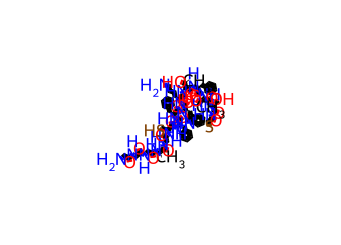 C[C@H](NC(=O)CNC(=O)CNC(=O)CN)C(=O)NCC(=O)N[C@@H](CS)C(=O)N[C@@H](Cc1ccccc1)C(=O)N[C@@H](Cc1ccccc1)C(=O)N[C@@H](Cc1c[nH]c2ccccc12)C(=O)N[C@@H](CCCCN)C(=O)N[C@H](C(=O)N[C@@H](Cc1ccccc1)C(=O)N[C@H](C(=O)N[C@@H](CO)C(=O)NC(=O)C=S)[C@@H](C)O)[C@@H](C)O